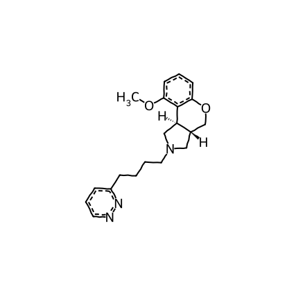 COc1cccc2c1[C@@H]1CN(CCCCc3cccnn3)C[C@H]1CO2